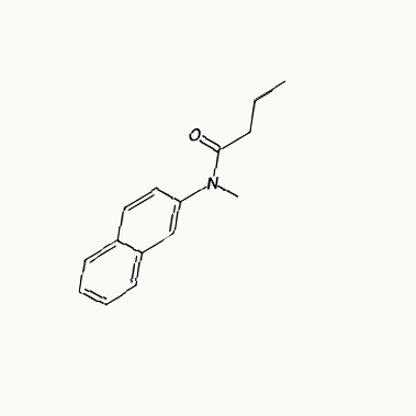 CCCC(=O)N(C)c1ccc2ccccc2c1